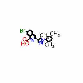 Cc1ccc(C)c(-n2ncc(-c3cc4ccc(Br)cc4c(C(=O)O)n3)c2C)c1